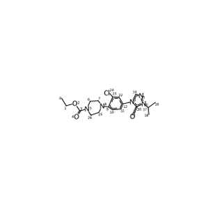 CCOC(=O)N1CCN(c2ccc(-n3cnn(C(C)C)c3=O)cc2Cl)CC1